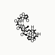 C#CC(=O)N(CCC(=O)NC(C)C(=O)NC(C)C(=O)ON1C(=O)CCC1=O)N(CCC(=O)NC(C)C(=O)NC(C)C(=O)ON1C(=O)CCC1=O)C(=O)C#C